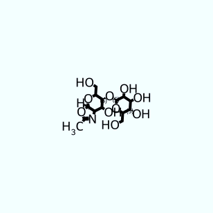 CC1=NC2C(O)[C@H](O[C@@H]3OC(CO)[C@@H](O)C(O)C3O)C(CO)O[C@H]2O1